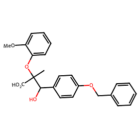 COc1ccccc1OC(C)(C(=O)O)C(O)c1ccc(OCc2ccccc2)cc1